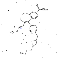 COC(=O)c1ccc2c(c1)CCCC(/C=C/CO)=C2c1ccc(CC2CN(CCCF)C2)cc1